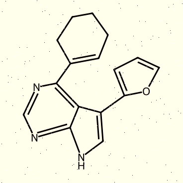 C1=C(c2ncnc3[nH]cc(-c4ccco4)c23)CCCC1